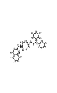 c1ccc(C(CCN2CCCN(Cc3ccc4ccccc4n3)CC2)c2ccccc2)cc1